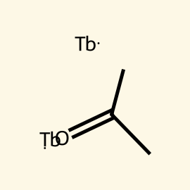 CC(C)=O.[Tb].[Tb]